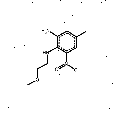 COCCNc1c(N)cc(C)cc1[N+](=O)[O-]